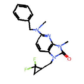 CN(Cc1ccccc1)c1ccc2c(n1)n(C)c(=O)n2CC1CC1(F)F